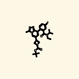 CCN(C(=O)c1cc(F)ccc1-c1cc(C2CN(C(=O)OC(C)(C)C)C2)cn2c(C)nnc12)C(C)C